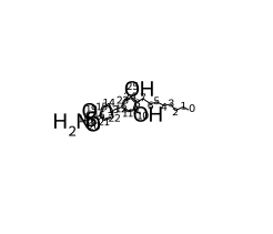 CCCCCCCCc1c(O)cc(-c2ccc(S(N)(=O)=O)cc2)cc1O